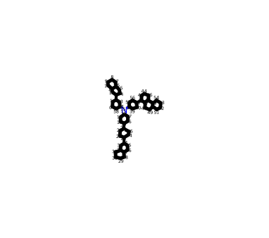 c1cc(-c2ccc3ccccc3c2)cc(N(c2ccc(-c3ccc(-c4ccc5ccccc5c4)cc3)cc2)c2ccc(-c3cccc4c3ccc3ccccc34)cc2)c1